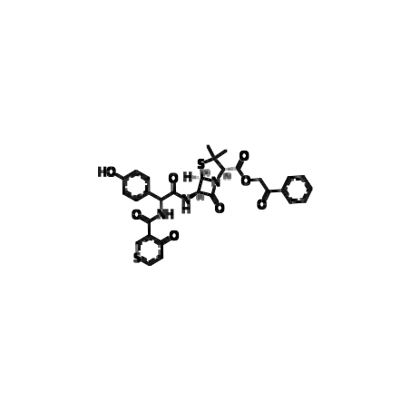 CC1(C)S[C@@H]2[C@H](NC(=O)C(NC(=O)c3csccc3=O)c3ccc(O)cc3)C(=O)N2[C@H]1C(=O)OCC(=O)c1ccccc1